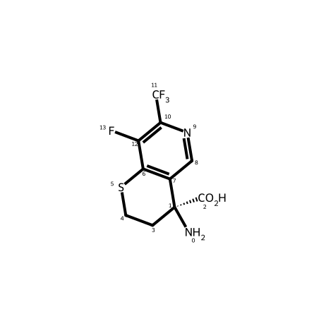 N[C@@]1(C(=O)O)CCSc2c1cnc(C(F)(F)F)c2F